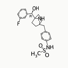 CS(=O)(=O)Nc1ccc(CC23CCC([C@H](O)c4cccc(F)c4)(CC2)N3)cc1